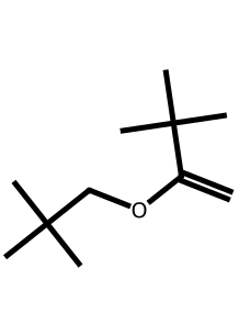 C=C(OCC(C)(C)C)C(C)(C)C